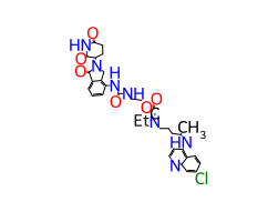 CCN(CCCC(C)Nc1ccnc2cc(Cl)ccc12)CC(=O)OCCNC(=O)Nc1cccc2c1CN(C1CCC(=O)NC1=O)C2=O